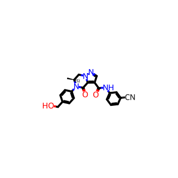 C[C@H]1Cn2ncc(C(=O)Nc3cccc(C#N)c3)c2C(=O)N1c1ccc(CO)cc1